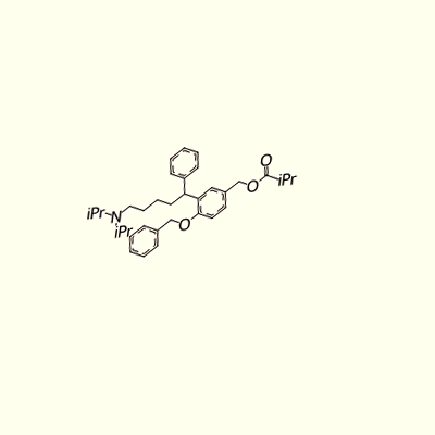 CC(C)C(=O)OCc1ccc(OCc2ccccc2)c(C(CCCCN(C(C)C)C(C)C)c2ccccc2)c1